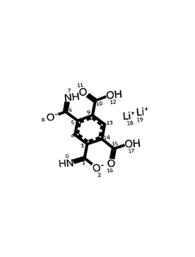 N=C([O-])c1cc(C(=N)[O-])c(C(=O)O)cc1C(=O)O.[Li+].[Li+]